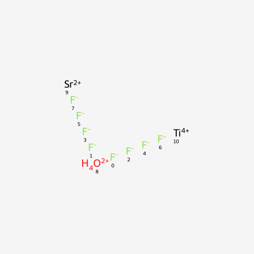 [F-].[F-].[F-].[F-].[F-].[F-].[F-].[F-].[OH4+2].[Sr+2].[Ti+4]